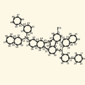 Fc1ccc2c3c(N(c4cccc(-c5ccccc5)c4)c4ccc5ccccc5c4)ccc4c5cc6ccc(N(c7cccc(-c8ccccc8)c7)c7ccc8ccccc8c7)cc6cc5n(c2c1)c43